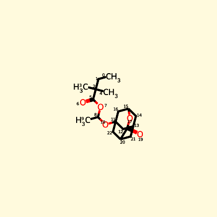 CCC(C)(C)C(=O)OC(C)OC12CC3CC(C1)OC(=O)C(C3)C2